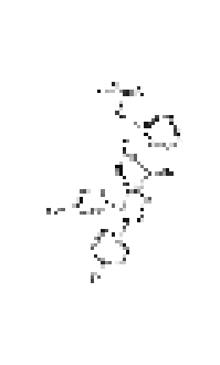 CC(=O)Oc1ccccc1Cn1nc2c(-c3ccc(Cl)cc3)c(-c3ccc(Cl)cc3)cnn2c1=O